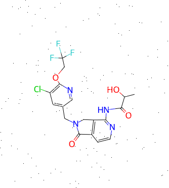 CC(O)C(=O)Nc1nccc2c1CN(Cc1cnc(OCC(F)(F)F)c(Cl)c1)C2=O